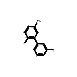 Cc1[c]ccc(-c2cc(Cl)ccc2C)c1